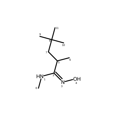 CNC(=NO)C(C)CC(C)(C)C